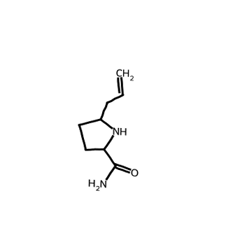 C=CCC1CCC(C(N)=O)N1